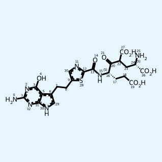 Nc1nc(O)c2c(CCc3cnc(C(=O)N[C@@H](CCC(=O)O)C(=O)C(C[C@H](N)C(=O)O)C(=O)O)s3)c[nH]c2n1